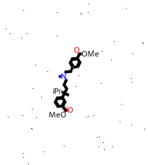 COC(=O)c1ccc(CCN(C)CCCC(C)(c2cccc(C(=O)OC)c2)C(C)C)cc1